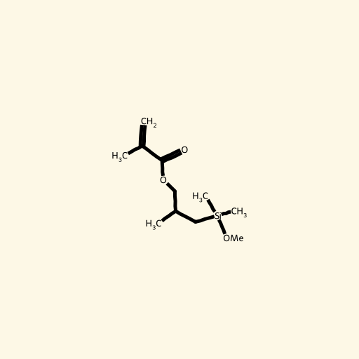 C=C(C)C(=O)OCC(C)C[Si](C)(C)OC